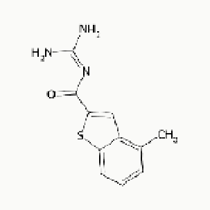 Cc1cccc2sc(C(=O)N=C(N)N)cc12